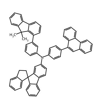 CC1(C)c2ccccc2-c2cccc(-c3cccc(N(c4ccc(-c5cc6ccccc6c6ccccc56)cc4)c4ccc5c(c4)C4(CCc6ccccc64)c4ccccc4-5)c3)c21